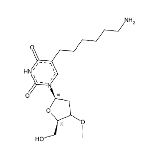 NCCCCCCc1cn([C@H]2CC(OI)[C@@H](CO)O2)c(=O)[nH]c1=O